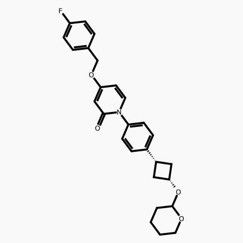 O=c1cc(OCc2ccc(F)cc2)ccn1-c1ccc([C@H]2C[C@@H](OC3CCCCO3)C2)cc1